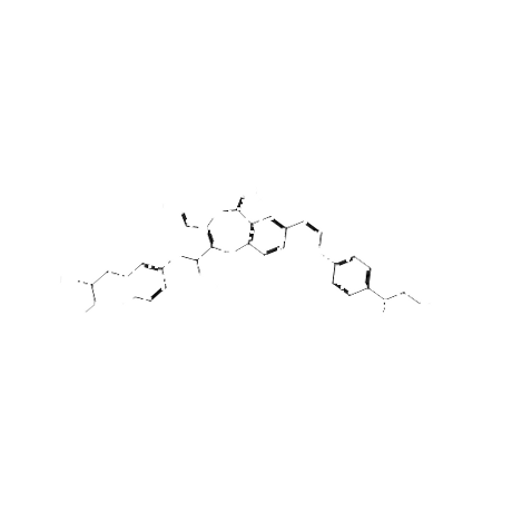 C=CC1=C(C(C)SC(/C=C\N)=C/CCC(C)CC(C)C)Sc2ccc(/C=C\Sc3ccc(C(C)CC(C)C)cc3)cc2C(=C)S1